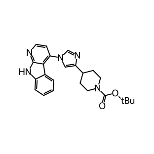 CC(C)(C)OC(=O)N1CCC(c2cn(-c3ccnc4[nH]c5ccccc5c34)cn2)CC1